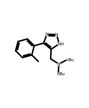 CCCCN(CCCC)Cc1[nH]nnc1-c1ccccc1C